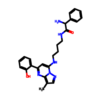 Bc1cnn2c(NCCCCNC(=O)C(N)c3ccccc3)cc(-c3ccccc3O)nc12